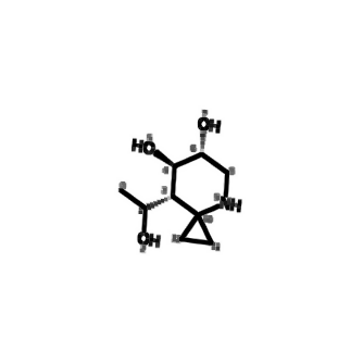 CC(O)[C@@H]1[C@@H](O)[C@H](O)CNC12CC2